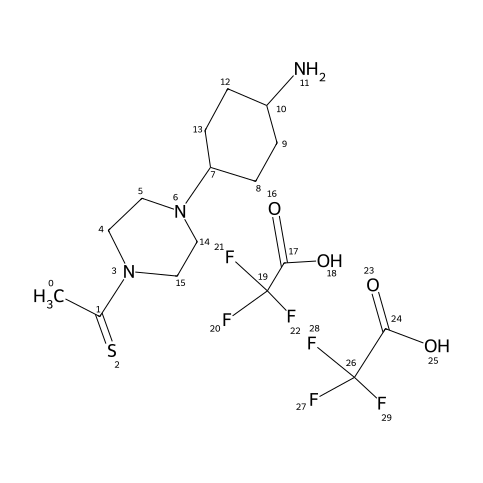 CC(=S)N1CCN(C2CCC(N)CC2)CC1.O=C(O)C(F)(F)F.O=C(O)C(F)(F)F